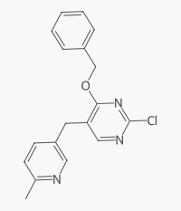 Cc1ccc(Cc2cnc(Cl)nc2OCc2ccccc2)cn1